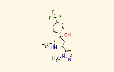 C[C@H]1CC(O)(c2ccc(C(F)(F)F)cc2)C[C@@H](c2ccnn2C)N1